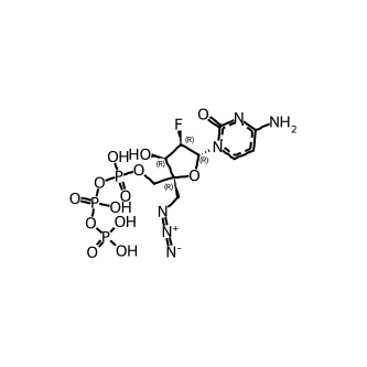 [N-]=[N+]=NC[C@]1(COP(=O)(O)OP(=O)(O)OP(=O)(O)O)O[C@@H](n2ccc(N)nc2=O)[C@H](F)[C@@H]1O